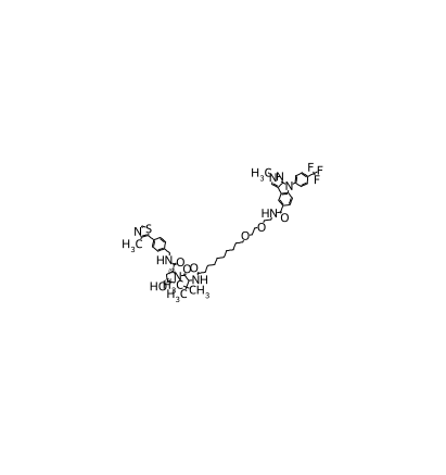 Cc1ncsc1-c1ccc(CNC(=O)[C@@H]2C[C@@H](O)CN2C(=O)C(NC(=O)CCCCCCCCCOCCOCCNC(=O)c2ccc3c(c2)c2cn(C)nc2n3-c2ccc(C(F)(F)F)cc2)C(C)(C)C)cc1